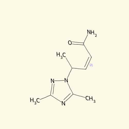 Cc1nc(C)n(C(C)/C=C\C(N)=O)n1